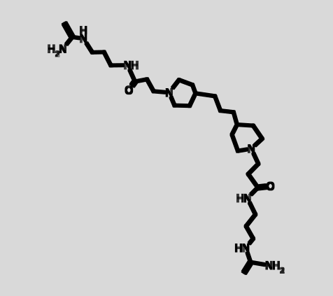 C=C(N)NCCCNC(=O)CCN1CCC(CCCC2CCN(CCC(=O)NCCCNC(=C)N)CC2)CC1